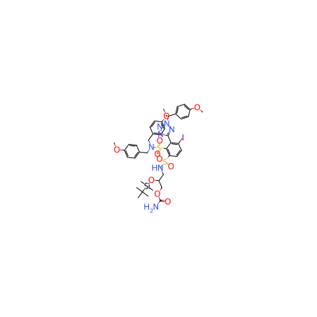 COc1ccc(CN(Cc2ccc(OC)cc2)S(=O)(=O)c2c(S(=O)(=O)NCC(COC(N)=O)O[Si](C)(C)C(C)(C)C)ccc(I)c2-c2nnn(Cc3ccc(OC)cc3)n2)cc1